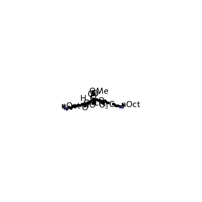 CCCCCCCC/C=C\CCCCCCCC(=O)OCCC(C)[N+](C)(O)CCOC(=O)CCCCCCC/C=C\CCCCCCCC.COS(=O)(=O)[O-]